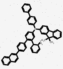 CC1C=CC=CC1c1cc(N(c2ccc(-c3ccccc3)cc2)c2ccc3c(c2)C(C)(C)c2ccccc2-3)ccc1-c1ccc(-c2ccc3ccccc3c2)cc1